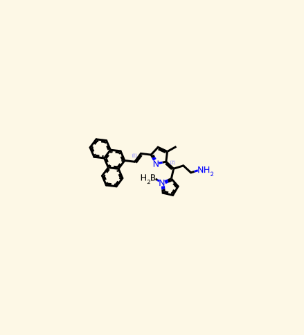 Bn1cccc1/C(CCN)=C1N=C(/C=C/c2cc3ccccc3c3ccccc23)C=C\1C